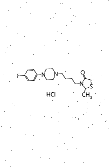 CC1SCC(=O)N1CCCCN1CCN(c2ccc(F)cc2)CC1.Cl